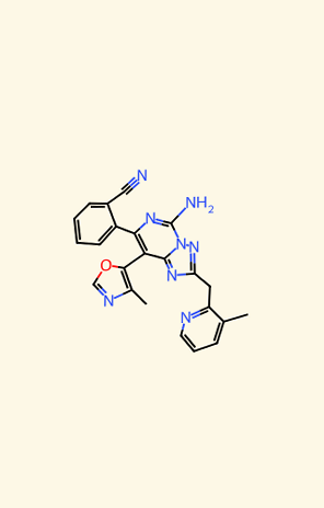 Cc1cccnc1Cc1nc2c(-c3ocnc3C)c(-c3ccccc3C#N)nc(N)n2n1